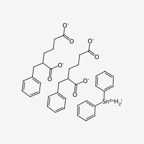 O=C([O-])CCCC(Cc1ccccc1)C(=O)[O-].O=C([O-])CCCC(Cc1ccccc1)C(=O)[O-].c1cc[c]([SnH2+4][c]2ccccc2)cc1